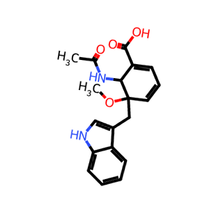 COC1(Cc2c[nH]c3ccccc23)C=CC=C(C(=O)O)C1NC(C)=O